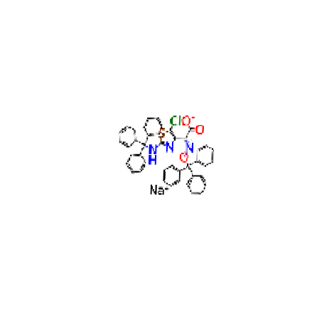 O=C([O-])/C(=N/OC(c1ccccc1)(c1ccccc1)c1ccccc1)c1nc(NC(c2ccccc2)(c2ccccc2)c2ccccc2)sc1Cl.[Na+]